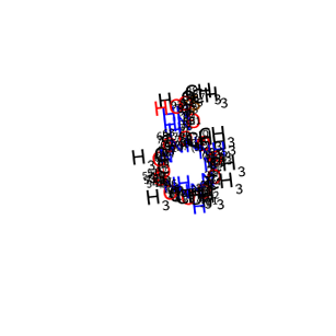 CC(C)C[C@H]1C(=O)N[C@@H](Cc2ccccc2)C(=O)N(C)CC(=O)N(C)[C@@H](Cc2ccccc2)C(=O)N[C@@H](C)C(=O)N(C)[C@@H](C)C(=O)N[C@@H](Cc2ccccc2)C(=O)OCC(=O)N(C)[C@@H](Cc2ccccc2)C(=O)N[C@@H](CCCCNC(=O)[C@H](CSSC(C)(C)C)NC(=O)O)C(=O)N1C